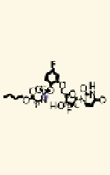 CCCCOC(=O)[C@H](C)/N=[P+](\[O-])Oc1ccc(F)cc1OC[C@H]1O[C@@H](n2ccc(=O)[nH]c2=O)[C@](C)(F)[C@@H]1O